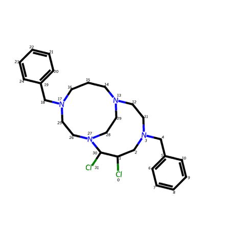 ClC1CN(Cc2ccccc2)CCN2CCCN(Cc3ccccc3)CCN(CC2)C1Cl